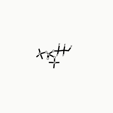 C[Si](C)(C)OP(=O)(OC(F)(F)C(F)(F)CF)O[Si](C)(C)C